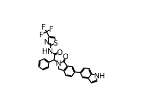 O=C(Nc1nc(C(F)(F)F)cs1)C(c1ccccc1)N1Cc2ccc(-c3ccc4[nH]ccc4c3)cc2C1=O